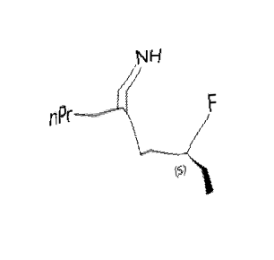 [CH2]CCC(=N)C[C@H](C)F